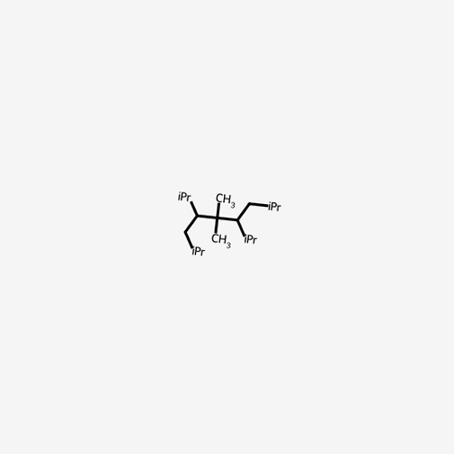 CC(C)CC(C(C)C)C(C)(C)C(CC(C)C)C(C)C